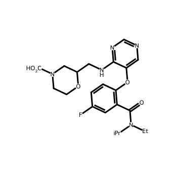 CCN(C(=O)c1cc(F)ccc1Oc1cncnc1NCC1CN(C(=O)O)CCO1)C(C)C